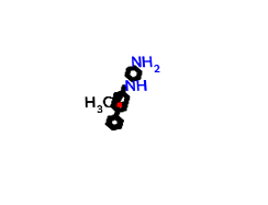 CC12CC3CC(CN[C@H]4CC[C@H](N)CC4)(C1)CC(c1ccccc1)(C3)C2